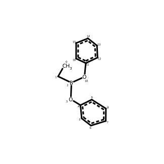 CCB(Oc1ccccc1)Oc1ccccc1